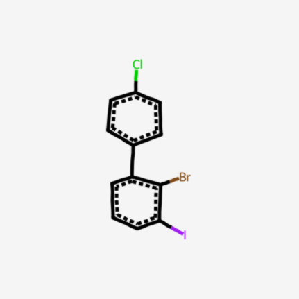 Clc1ccc(-c2cccc(I)c2Br)cc1